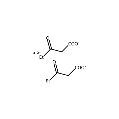 CCC(=O)CC(=O)[O-].CCC(=O)CC(=O)[O-].[Pt+2]